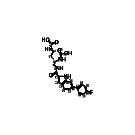 O=C(O)NCC[C@@H](CNC(=O)c1cc2ccc(-c3ccc(F)cc3)cc2[nH]1)NC(=O)O